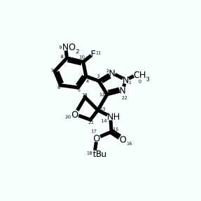 Cn1nc(-c2cccc([N+](=O)[O-])c2F)c(C2(NC(=O)OC(C)(C)C)COC2)n1